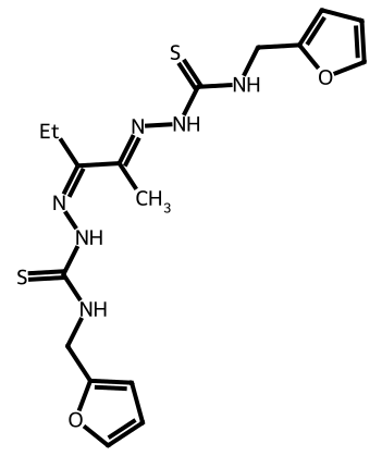 CCC(=N/NC(=S)NCc1ccco1)/C(C)=N/NC(=S)NCc1ccco1